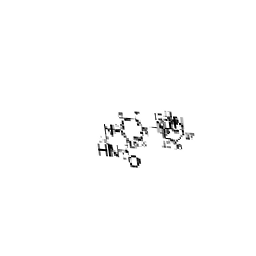 O=c1[nH]cnc2ccc(N3CCN4CCC3CC4)cc12